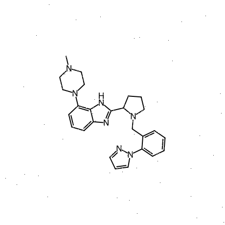 CN1CCN(c2cccc3nc(C4CCCN4Cc4ccccc4-n4cccn4)[nH]c23)CC1